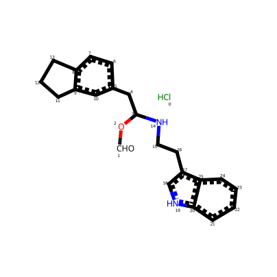 Cl.O=COC(Cc1ccc2c(c1)CCC2)NCCc1c[nH]c2ccccc12